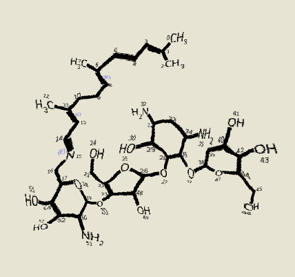 CC(C)=CCC/C(C)=C/CC/C(C)=C/C=N/CC1OC(OC2C(CO)OC(OC3C(O)C(N)CC(N)C3OC3CC(O)C(O)C(CO)O3)C2O)C(N)C(O)C1O